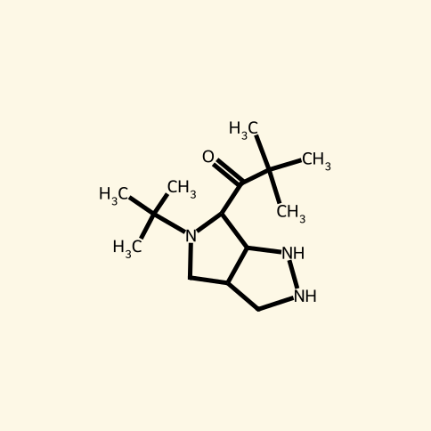 CC(C)(C)C(=O)C1C2NNCC2CN1C(C)(C)C